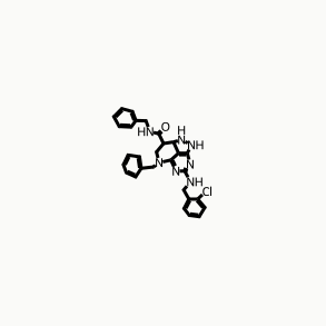 O=C(NCc1ccccc1)C1CN(Cc2ccccc2)c2nc(NCc3ccccc3Cl)nc3c2C1NN3